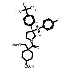 COCC1(C(=O)N2CC[C@](c3ccc(C(F)(C(F)(F)F)C(F)(F)F)cc3)(S(=O)(=O)c3ccc(F)cc3)C2)CCC(C(=O)O)CC1